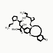 C=CC[C@@H]1CCCN1C(=O)CC(O)(C(=O)OC)c1ccc2c(c1)N(C[C@@H]1CC[C@H]1[C@@H](O)C=C)CCCCc1cc(Cl)ccc1CO2